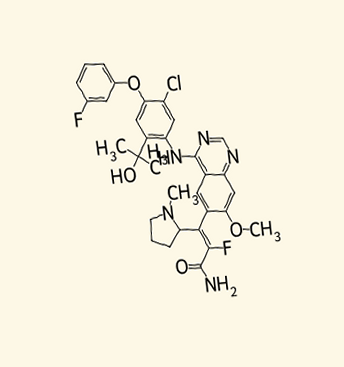 COc1cc2ncnc(Nc3cc(Cl)c(Oc4cccc(F)c4)cc3C(C)(C)O)c2cc1C(=C(F)C(N)=O)C1CCCN1C